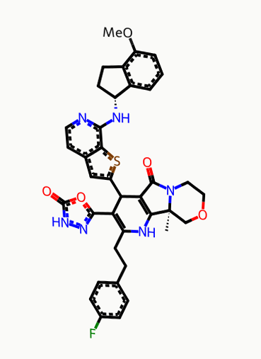 COc1cccc2c1CC[C@H]2Nc1nccc2cc(C3C4=C(NC(CCc5ccc(F)cc5)=C3c3n[nH]c(=O)o3)[C@]3(C)COCCN3C4=O)sc12